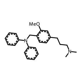 COc1cc(CCCN(C)C)ccc1CN(c1ccccc1)c1ccccc1